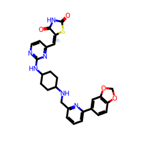 O=C1NC(=O)/C(=C\c2ccnc(NC3CCC(NCc4cccc(-c5ccc6c(c5)OCO6)n4)CC3)n2)S1